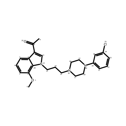 COc1cccc2c(C(C)=O)cn(CCCN3CCN(c4cccc(Cl)c4)CC3)c12